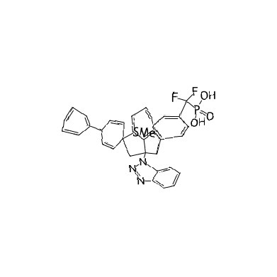 CSC1(CC(Cc2ccc(C(F)(F)P(=O)(O)O)cc2)(c2ccccc2)n2nnc3ccccc32)C=CC(c2ccccc2)C=C1